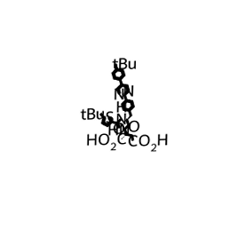 CC(C)(C)c1ccc(-c2cnc(-c3ccc(C[C@H](NC(=O)c4ccc(C(C)(C)C)s4)C(=O)N[C@H](CC(=O)O)C(=O)O)cc3)nc2)cc1